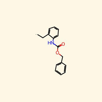 [CH2]Cc1ccccc1NC(=O)OCc1ccccc1